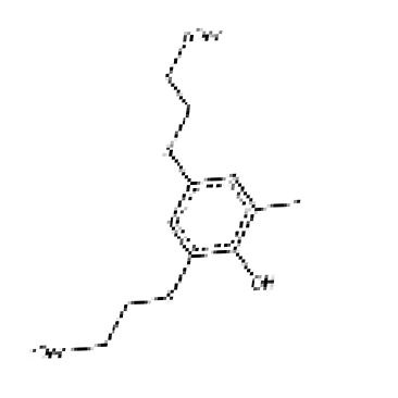 CCCCCCCCCCCCSc1cc(C)c(O)c(SCCCCCCCCCCCC)c1